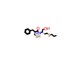 CCCSCC[C@@H](CO)NC(=O)[C@@H](CS)Cc1ccccc1